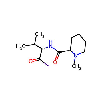 CC(C)[C@H](NC(=O)[C@H]1CCCCN1C)C(=O)I